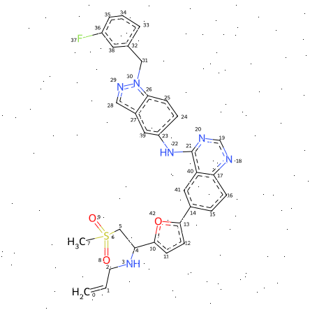 C=CCNC(CS(C)(=O)=O)c1ccc(-c2ccc3ncnc(Nc4ccc5c(cnn5Cc5cccc(F)c5)c4)c3c2)o1